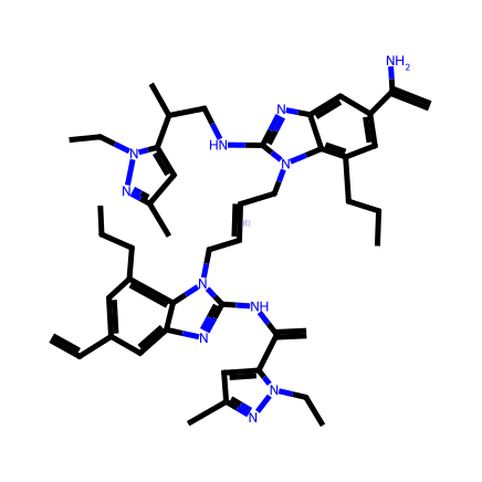 C=Cc1cc(CCC)c2c(c1)nc(NC(=C)c1cc(C)nn1CC)n2C/C=C/Cn1c(NCC(C)c2cc(C)nn2CC)nc2cc(C(=C)N)cc(CCC)c21